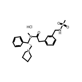 CN(C(=O)Cc1cccc(CNS(C)(=O)=O)c1)[C@H](CN1CCCC1)c1ccccc1.Cl